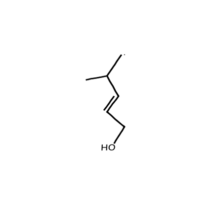 [CH2]C(C)/C=C/CO